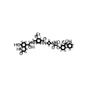 CCOc1cc(C(=O)N[C@H]2C[C@H](NC(=O)COc3cccc([C@](O)(C(=O)O)c4ccccc4)c3)C2)ccc1CNC[C@H](O)c1ccc(O)c2[nH]c(=O)ccc12